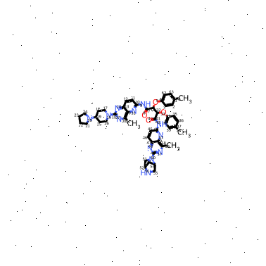 Cc1ccc(OC(C(=O)Nc2ccc3nc(N4CCC(N5CCCC5)CC4)nc(C)c3n2)C(Oc2ccc(C)cc2)C(=O)Nc2ccc3nc(N4CC5CC4CN5)nc(C)c3n2)cc1